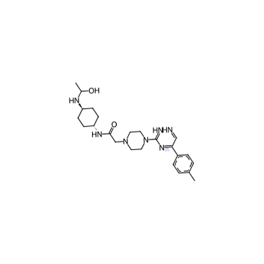 Cc1ccc(/C(C=N)=N/C(=N)N2CCN(CC(=O)N[C@H]3CC[C@H](NC(C)O)CC3)CC2)cc1